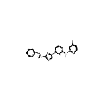 Cc1ccnc(Nc2cccc(-c3cnc(NCc4ccccc4)s3)n2)c1